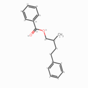 CC(CCc1ccccc1)COC(=O)c1ccccc1